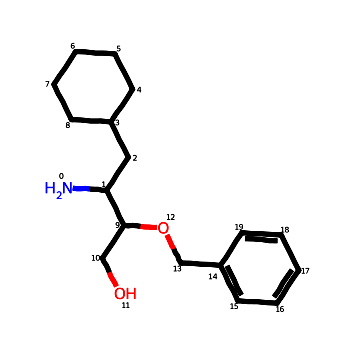 NC(CC1CCCCC1)C(CO)OCc1ccccc1